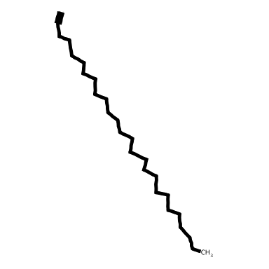 [C]#CCCCCCCCCCCCCCCCCCCCCCCCC